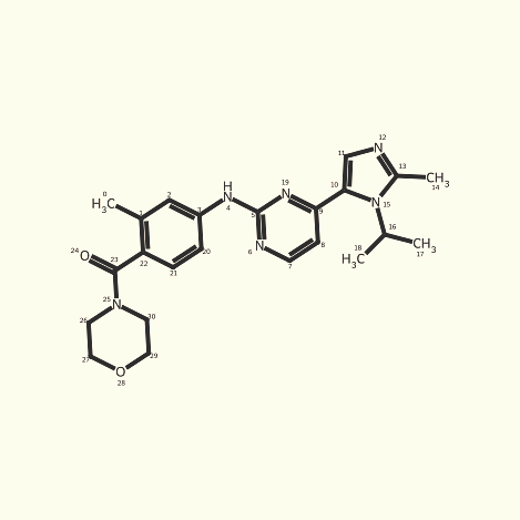 Cc1cc(Nc2nccc(-c3cnc(C)n3C(C)C)n2)ccc1C(=O)N1CCOCC1